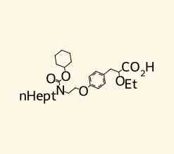 CCCCCCCN(CCOc1ccc(CC(OCC)C(=O)O)cc1)C(=O)OC1CCCCC1